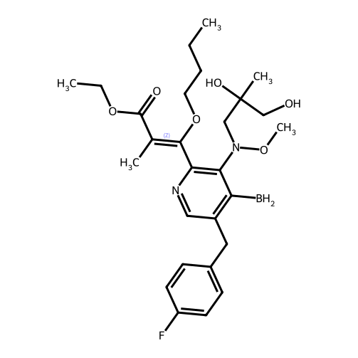 Bc1c(Cc2ccc(F)cc2)cnc(/C(OCCCC)=C(\C)C(=O)OCC)c1N(CC(C)(O)CO)OC